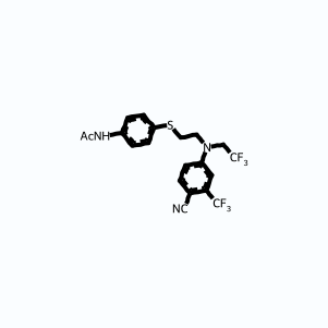 CC(=O)Nc1ccc(SCCN(CC(F)(F)F)c2ccc(C#N)c(C(F)(F)F)c2)cc1